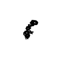 O=CC(c1ccc(OCc2ccccc2)cc1)C(Br)c1ccncc1